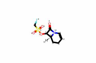 O=C1C(OS(=O)(=O)CF)[C@@H]2CCC=CN12